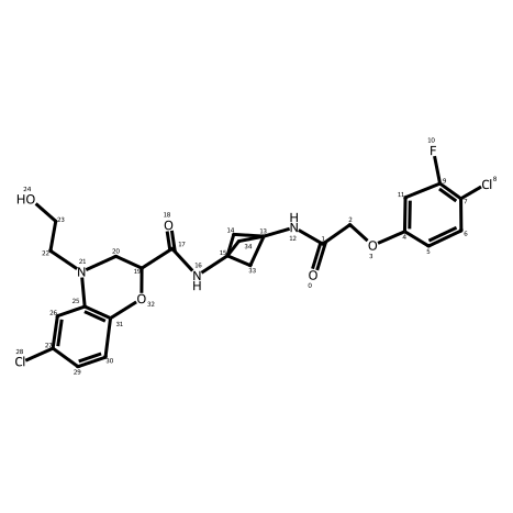 O=C(COc1ccc(Cl)c(F)c1)NC12CC(NC(=O)C3CN(CCO)c4cc(Cl)ccc4O3)(C1)C2